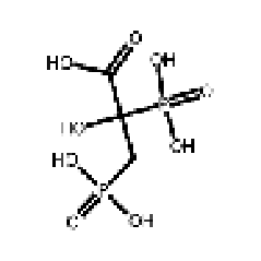 O=C(O)C(O)(CP(=O)(O)O)P(=O)(O)O